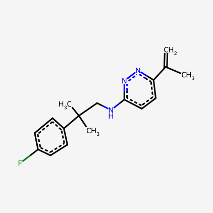 C=C(C)c1ccc(NCC(C)(C)c2ccc(F)cc2)nn1